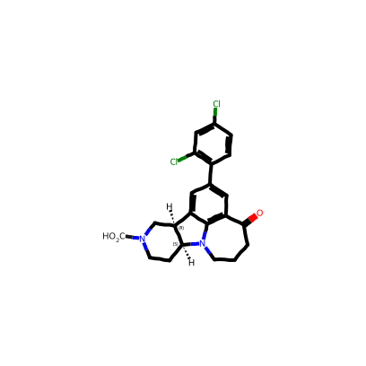 O=C1CCCN2c3c1cc(-c1ccc(Cl)cc1Cl)cc3[C@@H]1CN(C(=O)O)CC[C@@H]12